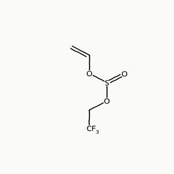 C=COS(=O)OCC(F)(F)F